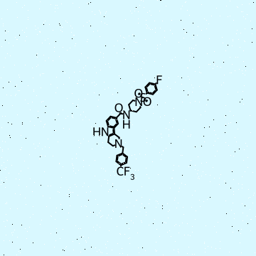 O=C(NC1CCN(S(=O)(=O)c2ccc(F)cc2)CC1)c1ccc2[nH]c3c(c2c1)CN(Cc1ccc(C(F)(F)F)cc1)CC3